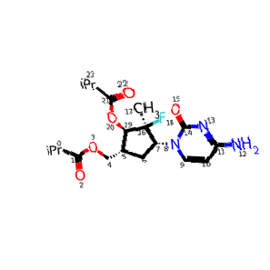 CC(C)C(=O)OC[C@H]1C[C@@H](n2ccc(N)nc2=O)[C@](C)(F)[C@@H]1OC(=O)C(C)C